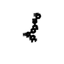 Cc1nc(-c2n[nH]cc2-c2ccc3ncc(-c4cnn(C5CCCNC5)c4)cc3c2)ccc1F